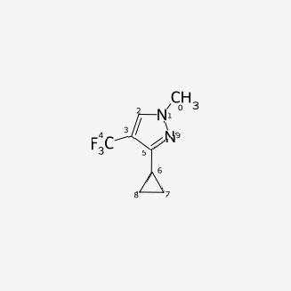 Cn1cc(C(F)(F)F)c(C2CC2)n1